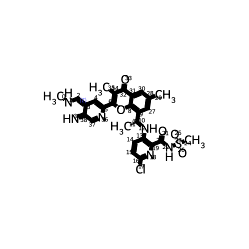 CN/C=C1/C=C(c2oc3c([C@@H](C)Nc4ccc(Cl)nc4C(=O)NS(C)(=O)=O)cc(C)cc3c(=O)c2C)N=CC1=N